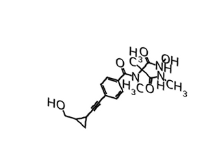 CNC(=O)C(C)(C(=O)NO)N(C)C(=O)c1ccc(C#CC2CC2CO)cc1